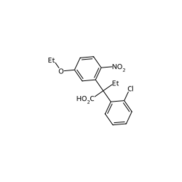 CCOc1ccc([N+](=O)[O-])c(C(CC)(C(=O)O)c2ccccc2Cl)c1